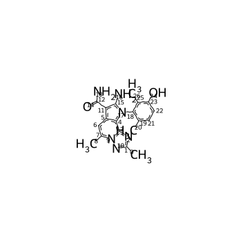 Cc1nc2c3c(cc(C)n2n1)c(C(N)=O)c(N)n3-c1c(C)ccc(O)c1C